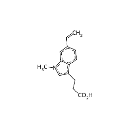 C=Cc1ccc2c(CCC(=O)O)cn(C)c2c1